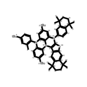 Cc1cc(C(C)(C)C)ccc1N1c2ccc(C(C)(C)C)cc2B2c3c1cc(C(C)(C)C)cc3N(c1ccc3c(c1)C(C)(C)CCC3(C)C)c1sc3cc4c(cc3c12)C(C)(C)CCC4(C)C